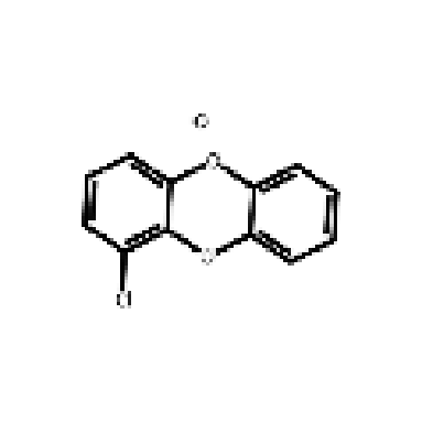 Clc1cccc2c1Oc1ccccc1O2.[O]